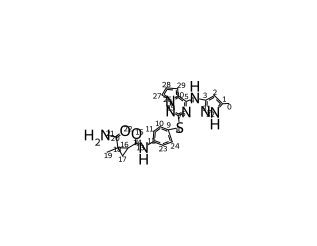 Cc1cc(Nc2nc(Sc3ccc(NC(=O)C4CC4(C)C(N)=O)cc3)nn3cccc23)n[nH]1